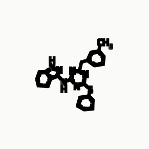 Cc1cccc(Cc2nc(Nc3n[nH]c4ccccc34)nc(Sc3ccccc3)n2)c1